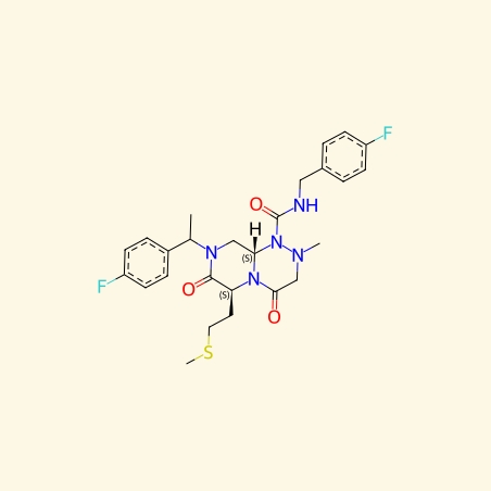 CSCC[C@H]1C(=O)N(C(C)c2ccc(F)cc2)C[C@H]2N1C(=O)CN(C)N2C(=O)NCc1ccc(F)cc1